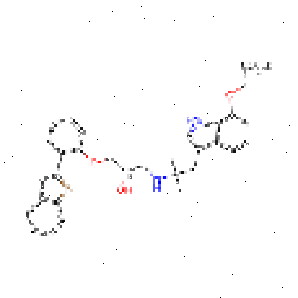 CCOC(=O)COc1cccc2c(CC(C)(C)NC[C@H](O)COc3ccccc3-c3cc4ccccc4s3)c[nH]c12